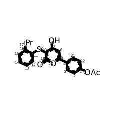 CC(=O)Oc1ccc(-c2cc(O)c(Sc3ccccc3C(C)C)c(=O)o2)cc1